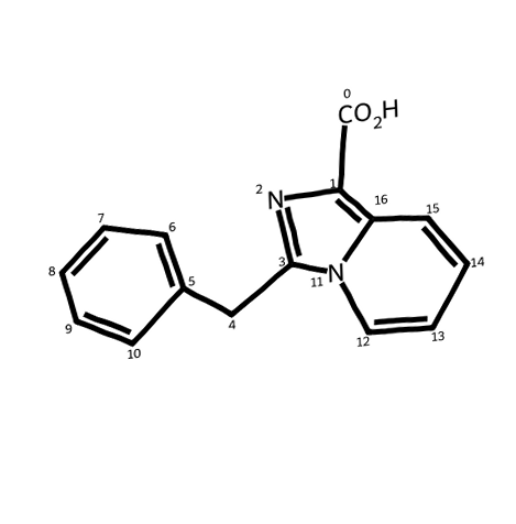 O=C(O)c1nc(Cc2ccccc2)n2ccccc12